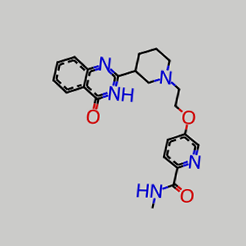 CNC(=O)c1ccc(OCCN2CCCC(c3nc4ccccc4c(=O)[nH]3)C2)cn1